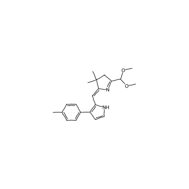 COC(OC)C1=N/C(=C\c2[nH]ccc2-c2ccc(C)cc2)C(C)(C)C1